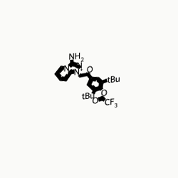 CC(C)(C)c1cc(C(=O)C[n+]2nc(N)n3ccccc32)cc(C(C)(C)C)c1OC(=O)C(F)(F)F